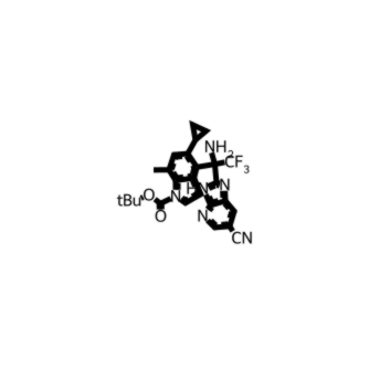 Cc1cc(C2CC2)c(C(N)(c2nc3cc(C#N)cnc3[nH]2)C(F)(F)F)c2ccn(C(=O)OC(C)(C)C)c12